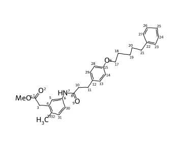 COC(=O)Cc1cc(NC(=O)CCc2ccc(OCCCCCc3ccccc3)cc2)ccc1C